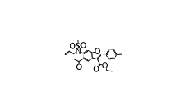 C=CCN(c1cc2oc(-c3ccc(C)cc3)c(C(=O)OCC)c2cc1C(C)=O)S(C)(=O)=O